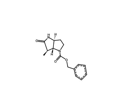 C[C@H]1C(=O)N[C@H]2CCN(C(=O)OCc3ccccc3)[C@@H]21